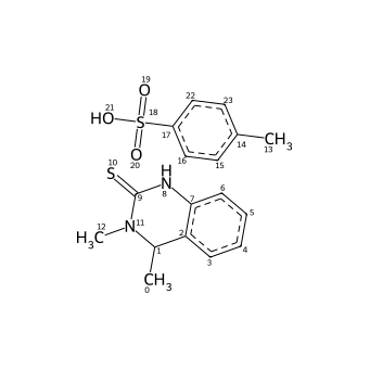 CC1c2ccccc2NC(=S)N1C.Cc1ccc(S(=O)(=O)O)cc1